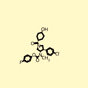 CN(C(=O)Oc1ccc(F)cc1)[C@@H]1CN(C(=O)[C@H]2CC[C@H](O)CC2)C[C@H]1c1ccc(Cl)cc1